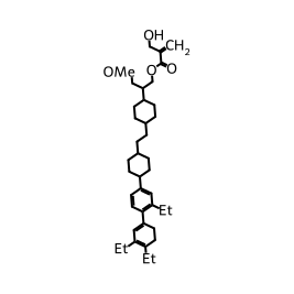 C=C(CO)C(=O)OCC(COC)C1CCC(CCC2CCC(c3ccc(C4=CC(CC)=C(CC)CC4)c(CC)c3)CC2)CC1